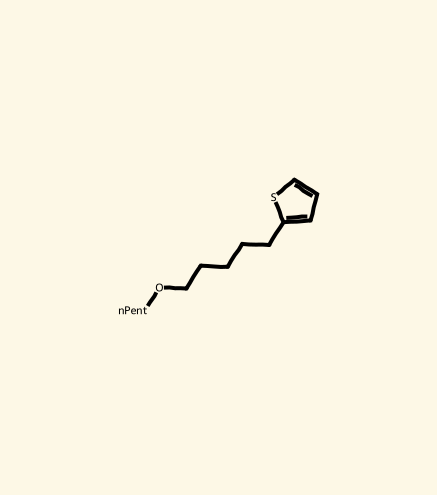 [CH2]CCCCOCCCCCc1cccs1